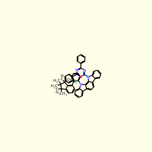 CC1(C)c2cccc(-c3ccccc3-n3c4ccccc4c4ccc5c6ccccc6n(-c6nc(-c7ccccc7)nc(-c7ccccc7F)n6)c5c43)c2C(C)(C)C1(C)C